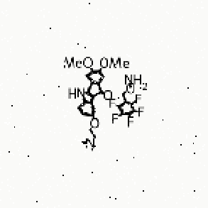 COc1cc2c(cc1OC)-c1[nH]c3ccc(OCCN(C)C)cc3c1C2=O.NOCc1c(F)c(F)c(F)c(F)c1F